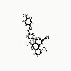 COc1ccccc1-c1cc(C#N)nc(-c2nnc(COc3ccc(Cl)cc3)s2)c1C(N)=O